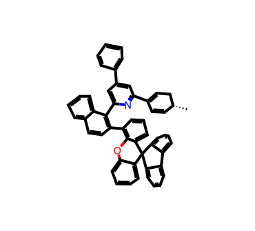 C[C@@H]1C=CC(c2cc(-c3ccccc3)cc(-c3c(-c4cccc5c4Oc4ccccc4C54c5ccccc5-c5ccccc54)ccc4ccccc34)n2)=CC1